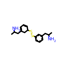 CC(N)CC1=CC=CC(SSc2cccc(CC(C)N)c2)C1